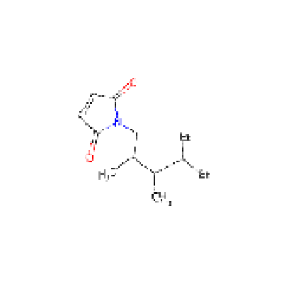 CCC(CC)C(C)C(C)CN1C(=O)C=CC1=O